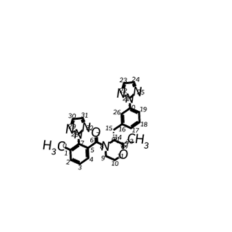 Cc1cccc(C(=O)N2CCO[C@@H](C)[C@H]2Cc2cccc(-n3nccn3)c2)c1-n1nccn1